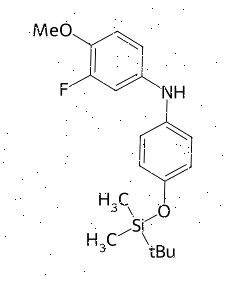 COc1ccc(Nc2ccc(O[Si](C)(C)C(C)(C)C)cc2)cc1F